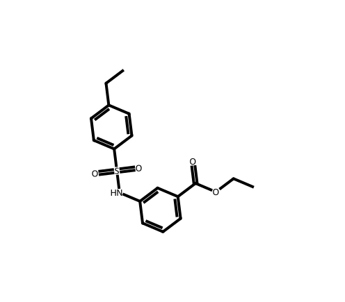 CCOC(=O)c1cccc(NS(=O)(=O)c2ccc(CC)cc2)c1